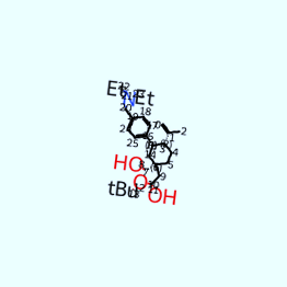 C=C(C)[C@@H]1CC[C@@](CO)(CC(O)OC(C)(C)C)C[C@H]1c1ccc(CN(CC)CC)cc1